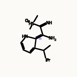 CC(C)C(C)C1=CC=CN/C1=C(/N)C(=N)[SH](C)(C)=O